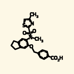 Cc1csc(S(=O)(=O)N(C)c2cc3c(cc2OCc2ccc(C(=O)O)cc2)CCC3)n1